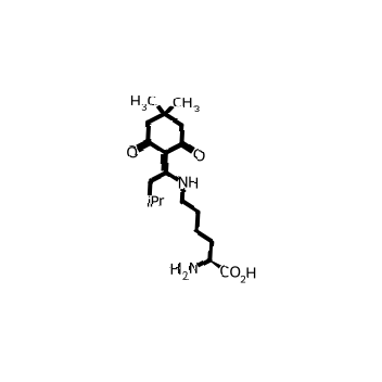 CC(C)CC(NCCCC[C@H](N)C(=O)O)=C1C(=O)CC(C)(C)CC1=O